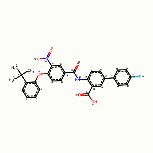 CC(C)(C)c1ccccc1Oc1ccc(C(=O)Nc2ccc(-c3ccc(F)cc3)cc2C(=O)O)cc1[N+](=O)[O-]